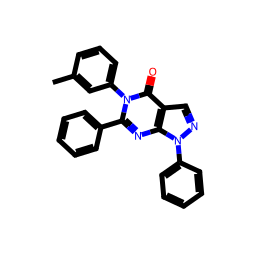 Cc1cccc(-n2c(-c3ccccc3)nc3c(cnn3-c3ccccc3)c2=O)c1